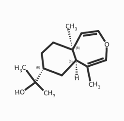 CC1=COC=C[C@]2(C)CC[C@@H](C(C)(C)O)C[C@H]12